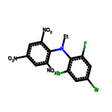 CCN(c1c(F)cc(Br)cc1Br)c1c([N+](=O)[O-])cc([N+](=O)[O-])cc1[N+](=O)[O-]